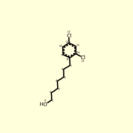 OCCCCCCCc1ccc(Cl)cc1Cl